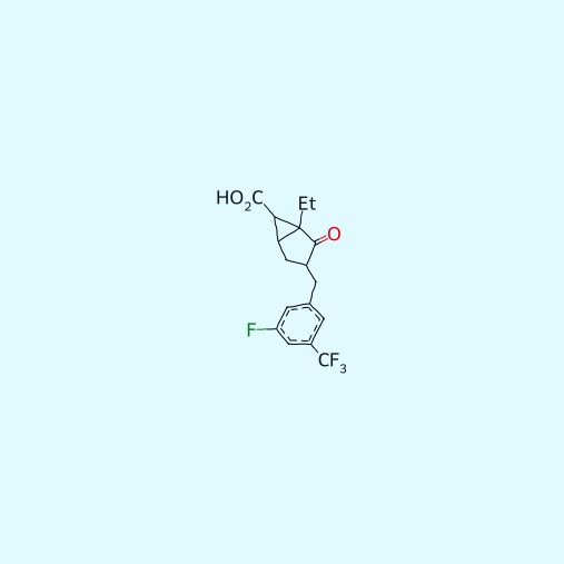 CCC12C(=O)C(Cc3cc(F)cc(C(F)(F)F)c3)CC1C2C(=O)O